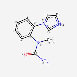 CN(C(N)=O)c1ccccc1-n1ccnc1